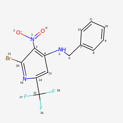 O=[N+]([O-])c1c(NCc2ccccc2)cc(C(F)(F)F)nc1Br